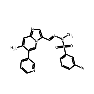 Cc1cc2ncc(C=NN(C)S(=O)(=O)c3cccc(Br)c3)n2cc1-c1cccnc1